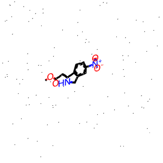 COC(=O)CC1NCc2cc([N+](=O)[O-])ccc21